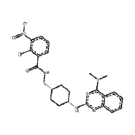 CN(C)c1nc(N[C@H]2CC[C@@H](CNC(=O)c3cccc([N+](=O)[O-])c3Cl)CC2)nc2ccccc12